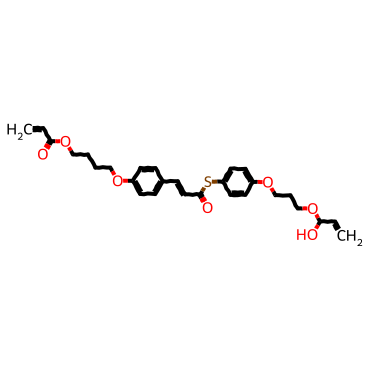 C=CC(=O)OCCCCOc1ccc(/C=C/C(=O)Sc2ccc(OCCCOC(O)C=C)cc2)cc1